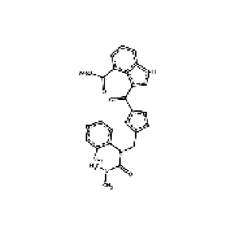 COC(=O)c1cccc2[nH]cc(C(=O)c3ccc(CN(C(=O)N(C)C)c4ccncc4[N+](=O)[O-])s3)c12